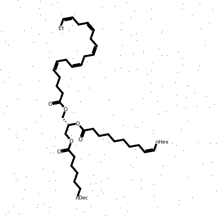 CC/C=C\C/C=C\C/C=C\C/C=C\C/C=C\CCCC(=O)OC[C@@H](COC(=O)CCCCCCCCCCCCCCC)OC(=O)CCCCCCC/C=C\CCCCCC